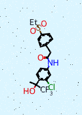 CCS(=O)(=O)c1ccc(CC(=O)Nc2ccc(C(C)(O)C(F)(F)F)c(Cl)c2)cc1